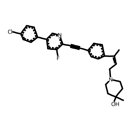 C/C(=C/CN1CCC(C)(O)CC1)c1ccc(C#Cc2ncc(-c3ccc(Cl)cc3)cc2F)cc1